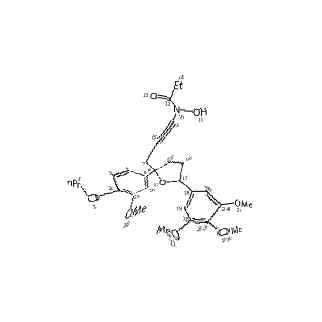 CCCOc1ccc(C2(CC#CN(O)C(=O)CC)CCC(c3cc(OC)c(OC)c(OC)c3)O2)cc1OC